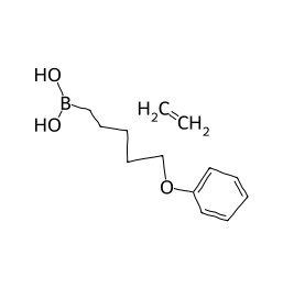 C=C.OB(O)CCCCCOc1ccccc1